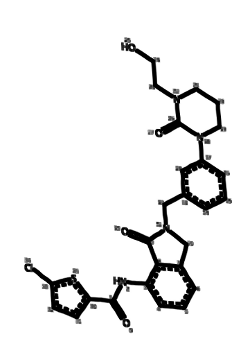 O=C(Nc1cccc2c1C(=O)N(Cc1cccc(N3CCCN(CCO)C3=O)c1)C2)c1ccc(Cl)s1